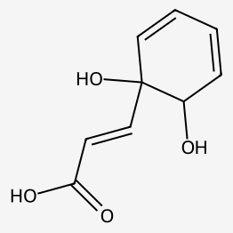 O=C(O)C=CC1(O)C=CC=CC1O